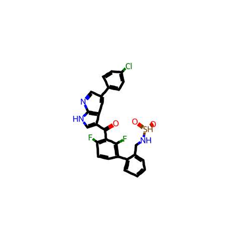 O=C(c1c(F)ccc(-c2ccccc2CN[SH](=O)=O)c1F)c1c[nH]c2ncc(-c3ccc(Cl)cc3)cc12